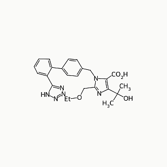 CCOCc1nc(C(C)(C)O)c(C(=O)O)n1Cc1ccc(-c2ccccc2-c2nnn[nH]2)cc1